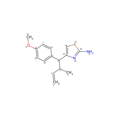 C=CC(C)C(c1ccc(OC)cc1)c1csc(N)n1